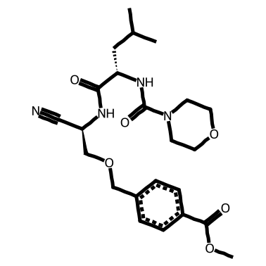 COC(=O)c1ccc(COC[C@@H](C#N)NC(=O)[C@H](CC(C)C)NC(=O)N2CCOCC2)cc1